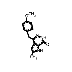 COc1ccc(Cc2n[nH]c(=O)c3[nH]c(C)cc23)cc1